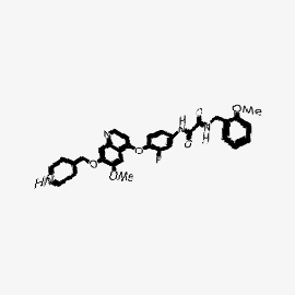 COc1ccccc1CNC(=O)C(=O)Nc1ccc(Oc2ccnc3cc(OCC4CCNCC4)c(OC)cc23)c(F)c1